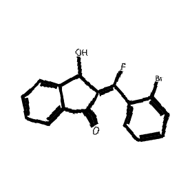 O=C1C(=C(F)c2ccccc2Br)C(O)c2ccccc21